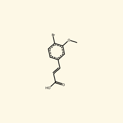 COc1cc(C=CC(=O)O)ccc1Br